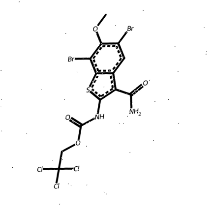 COc1c(Br)cc2c(C(N)=O)c(NC(=O)OCC(Cl)(Cl)Cl)sc2c1Br